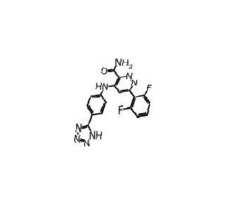 NC(=O)c1nnc(-c2c(F)cccc2F)cc1Nc1ccc(-c2nnn[nH]2)cc1